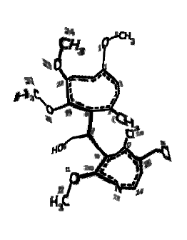 COc1cc(C)c(C(O)c2c(OC)ncc(Cl)c2Cl)c(OC)c1OC